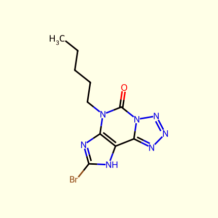 CCCCCn1c(=O)n2nnnc2c2[nH]c(Br)nc21